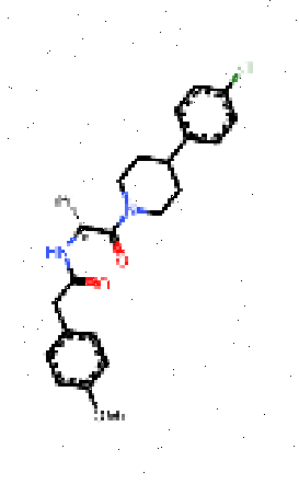 COc1ccc(CC(=O)N[C@@H](C(=O)N2CCC(c3ccc(Cl)cc3)CC2)C(C)C)cc1